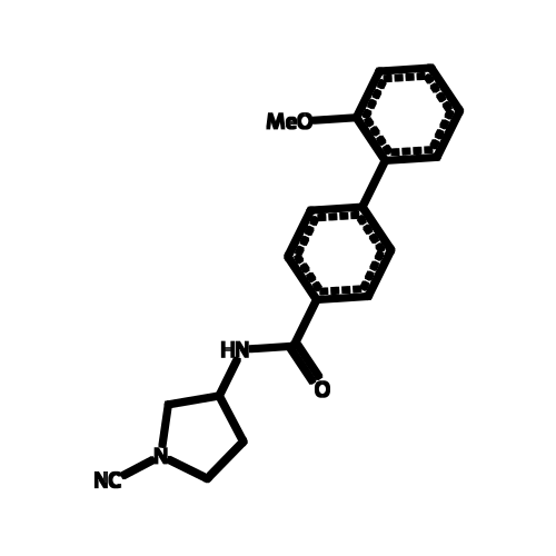 COc1ccccc1-c1ccc(C(=O)NC2CCN(C#N)C2)cc1